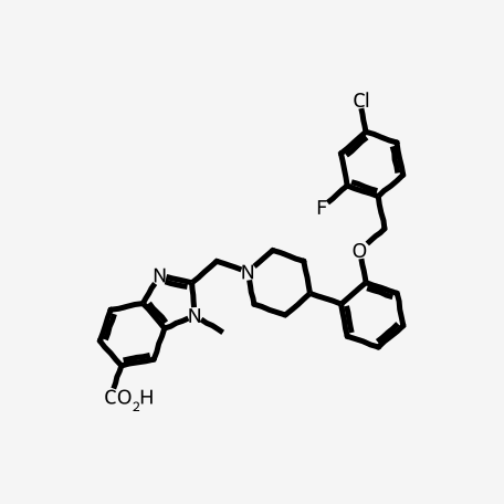 Cn1c(CN2CCC(c3ccccc3OCc3ccc(Cl)cc3F)CC2)nc2ccc(C(=O)O)cc21